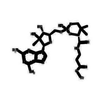 CC(C)OC(=O)CCNC(=O)[C@@H]1O[PH](O)(OC[C@H]2O[C@@H](n3cnc4c(N)nc(N)nc43)[C@](C)(O)[C@@H]2O)OCC1(C)C